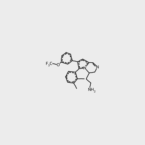 Cc1cccc(-c2c(-c3cccc(OC(F)(F)F)c3)cc3n2C(CCN)CN=C3)c1C